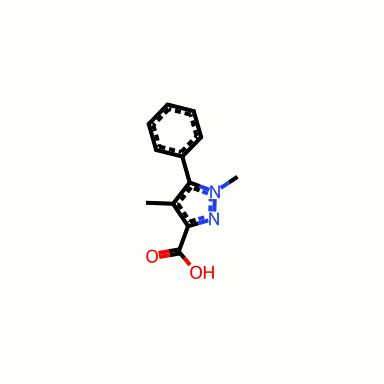 Cc1c(C(=O)O)nn(C)c1-c1ccccc1